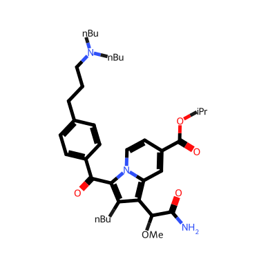 CCCCc1c(C(OC)C(N)=O)c2cc(C(=O)OC(C)C)ccn2c1C(=O)c1ccc(CCCN(CCCC)CCCC)cc1